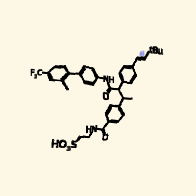 Cc1cc(C(F)(F)F)ccc1-c1ccc(NC(=O)C(c2ccc(/C=C/C(C)(C)C)cc2)C(C)c2ccc(C(=O)NCCS(=O)(=O)O)cc2)cc1